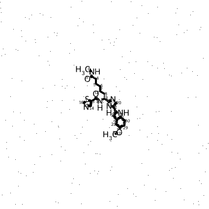 CNC(=O)CCCCC[C@H](NC(=O)c1cncs1)c1ncc(-c2cc3cc(OC)ccc3[nH]2)[nH]1